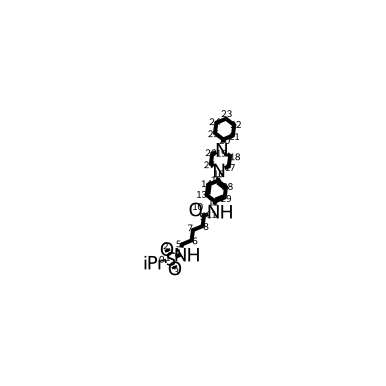 CC(C)S(=O)(=O)NCCCCC(=O)Nc1ccc(N2CCN(C3CCCCC3)CC2)cc1